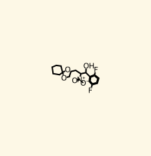 O=[N+]([O-])C(CC1COC2(CCCCC2)O1)C(O)c1cc(F)ccc1F